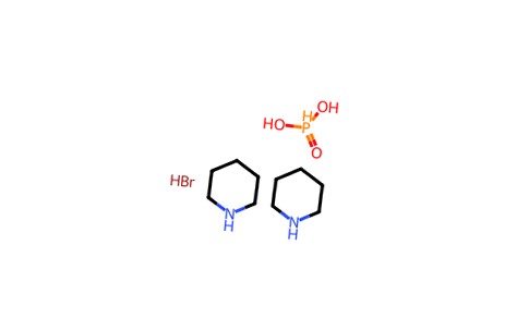 Br.C1CCNCC1.C1CCNCC1.O=[PH](O)O